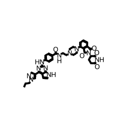 CCCn1cc(-c2nc(Nc3ccc(C(=O)NCCN4CCN(c5cccc6c5C(=O)N(C5CCC(=O)NC5=O)C6=O)CC4)cc3)nc3[nH]ccc23)cn1